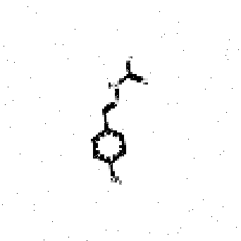 CCC(=O)NN=Cc1ccc(C(F)(F)F)cc1